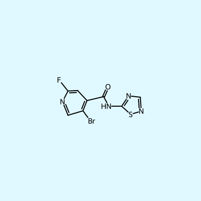 O=C(Nc1ncns1)c1cc(F)ncc1Br